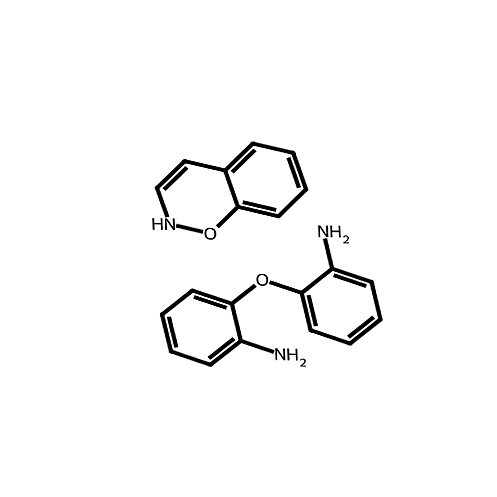 C1=Cc2ccccc2ON1.Nc1ccccc1Oc1ccccc1N